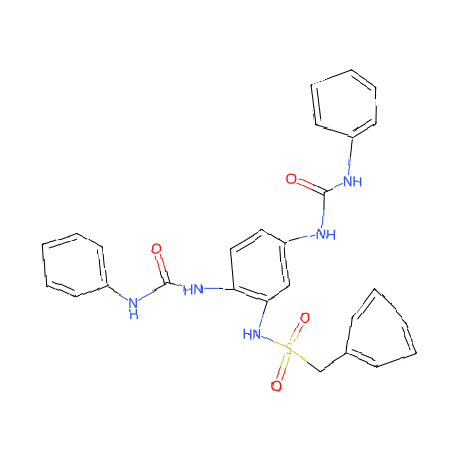 O=C(Nc1ccccc1)Nc1ccc(NC(=O)Nc2ccccc2)c(NS(=O)(=O)Cc2ccccc2)c1